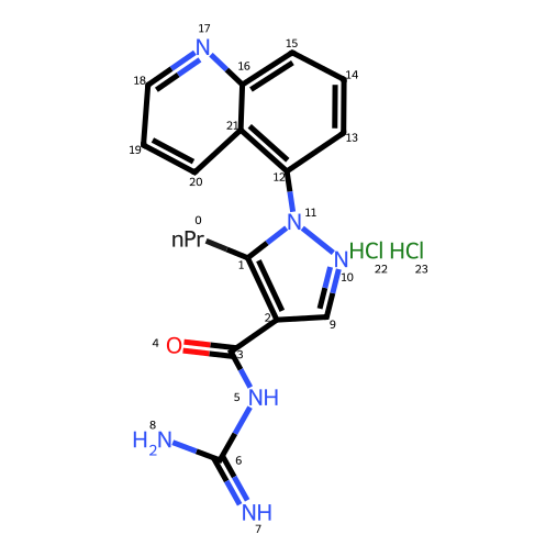 CCCc1c(C(=O)NC(=N)N)cnn1-c1cccc2ncccc12.Cl.Cl